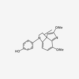 COC1=CC23C(=CC=C(OC)C2=N1)N(c1ccc(O)cc1)CCC3C